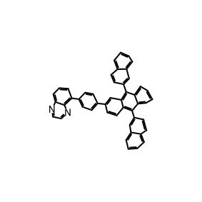 c1ccc2cc(-c3c4ccccc4c(-c4ccc5ccccc5c4)c4cc(-c5ccc(-c6cccc7nccnc67)cc5)ccc34)ccc2c1